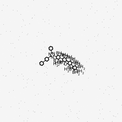 Bc1c(B)c(B)c(-c2c(B)c(B)c3c(oc4c(B)c(-c5c(B)c(B)c(-c6nc(-c7ccccc7)nc(-c7ccc(-c8ccccc8)cc7)n6)c(B)c5B)c(B)c(B)c43)c2B)c(B)c1B